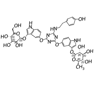 C[C@H]1O[C@@H](Oc2c[nH]c3ccc(Oc4nc(NCCc5ccc(O)cc5)nc(Oc5ccc6[nH]cc(O[C@@H]7O[C@H](CO)[C@@H](O)[C@H](O)[C@H]7O)c6c5)n4)cc23)[C@H](O)[C@@H](O)[C@@H]1O